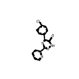 O=c1[nH]nc(-c2ccccn2)nc1-c1ccc(Cl)cc1